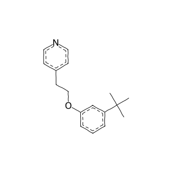 CC(C)(C)c1cccc(OCCc2ccncc2)c1